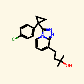 CC(C)(O)CCc1cccn2c(C3(c4ccc(Cl)cc4)CC3)nnc12